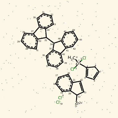 [CH3][Zr]([Cl])([Cl])[C]1=CC=CC1.[Cl-].[Cl-].[Zr+2][CH]1C=Cc2ccccc21.c1ccc2c(c1)-c1ccccc1C2C1c2ccccc2-c2ccccc21